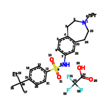 CCCN1CCc2ccc(NS(=O)(=O)c3ccc(C(C)(C)CC)cc3)cc2CC1.O=C(O)C(F)(F)F